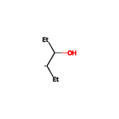 CC[CH]C(O)CC